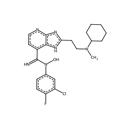 CN(CCc1nc2nccc(C(=N)N(O)c3ccc(F)c(Cl)c3)c2[nH]1)C1CCCCC1